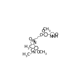 CCc1ccc2c(C3=NN(CCCCOc4ccc(C5=NNC(=O)CC5)cc4OC)C(=O)CC3C)ccc(OC)c2n1